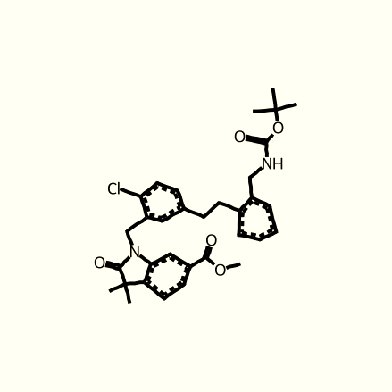 COC(=O)c1ccc2c(c1)N(Cc1cc(CCc3ccccc3CNC(=O)OC(C)(C)C)ccc1Cl)C(=O)C2(C)C